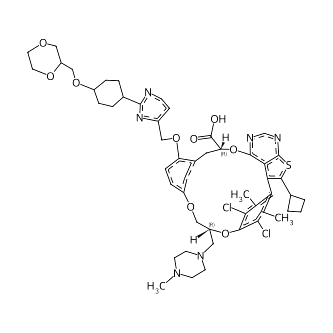 Cc1c(Cl)c2c(Cl)c(C)c1-c1c(C3CCC3)sc3ncnc(c13)O[C@@H](C(=O)O)Cc1cc(ccc1OCc1ccnc(C3CCC(OCC4COCCO4)CC3)n1)OC[C@@H](CN1CCN(C)CC1)O2